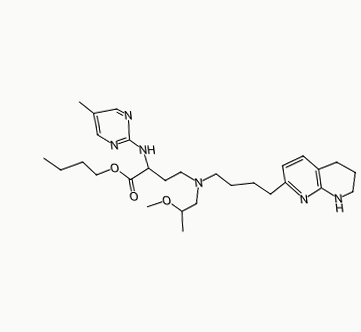 CCCCOC(=O)C(CCN(CCCCc1ccc2c(n1)NCCC2)CC(C)OC)Nc1ncc(C)cn1